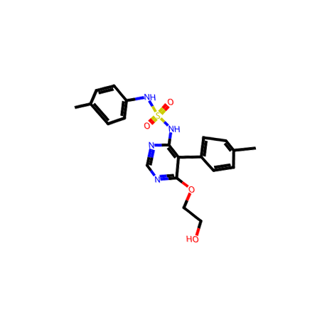 Cc1ccc(NS(=O)(=O)Nc2ncnc(OCCO)c2-c2ccc(C)cc2)cc1